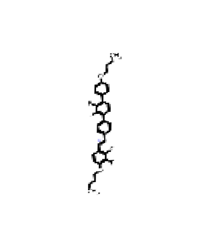 C=CCCOc1ccc(/C=C/c2ccc(-c3ccc(-c4ccc(OCCCC)cc4)c(F)c3F)cc2)c(F)c1F